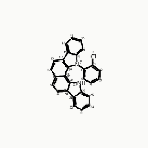 Clc1ccccc1-n1c2ccccc2c2ccc3ccc4c5ccccc5[nH]c4c3c21